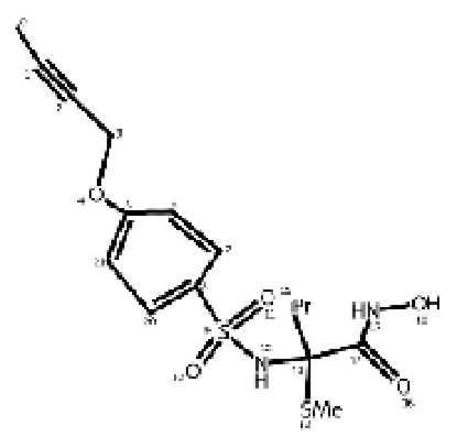 CC#CCOc1ccc(S(=O)(=O)NC(SC)(C(=O)NO)C(C)C)cc1